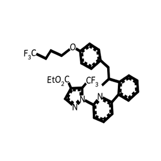 CCOC(=O)c1cnn(-c2cccc(-c3ccccc3C(C)Cc3ccc(OCCCC(F)(F)F)cc3)n2)c1C(F)(F)F